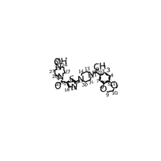 C[C@H](c1ccc2c(c1)OCCO2)N1CCN(c2ncc(C(=O)N3CCN(O)CC3)s2)CC1